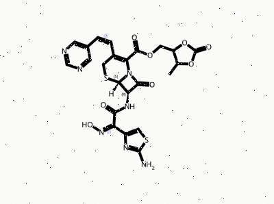 CC1OC(=O)OC1COC(=O)C1=C(/C=C\c2cncnc2)CS[C@H]2[C@H](NC(=O)/C(=N\O)c3csc(N)n3)C(=O)N12